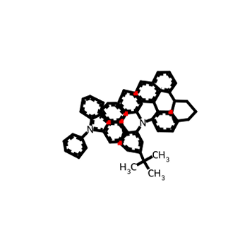 CC(C)(C)c1ccc(-c2ccccc2)c(N(c2ccccc2-c2cccc3cccc(C4CCCCC4)c23)c2ccccc2-c2cccc3c2c2ccccc2n3-c2ccccc2)c1